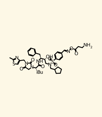 CCC(C)[C@@H](C(=O)N[C@@H](Cc1ccccc1)[C@H](O)CN(CC1CCCC1)S(=O)(=O)c1ccc(/C=N/OC(=O)CCN)cc1)N1CC(=O)N(Cc2csc(C)n2)C1=O